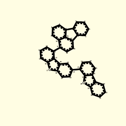 c1ccc2c(c1)-c1cccc3c(-c4cccc5oc6ccc(-c7cccc8c7oc7ccccc78)cc6c45)ccc-2c13